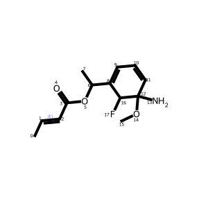 C/C=C/C(=O)OC(C)C1=CC=CC(N)(OC)C1F